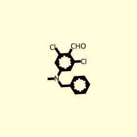 CN(Cc1ccccc1)c1cc(Cl)c(C=O)c(Cl)c1